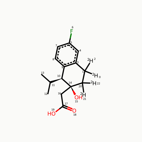 [2H]C1([2H])c2cc(F)ccc2[C@H](C(C)C)[C@@](O)(CC(=O)O)C1([2H])[2H]